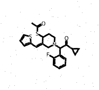 CC(=O)SC1CCN(C(C(=O)C2CC2)c2ccccc2F)CC1=Cc1cccs1